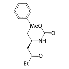 CCC(=O)C[C@@H](CCc1ccccc1)NC(=O)OC